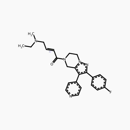 CCN(C)C/C=C/C(=O)N1CCn2nc(-c3ccc(F)cc3)c(-c3ccncc3)c2C1